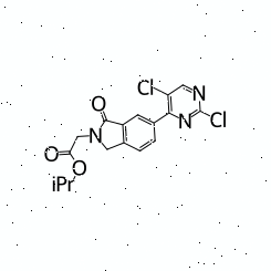 CC(C)OC(=O)CN1Cc2ccc(-c3nc(Cl)ncc3Cl)cc2C1=O